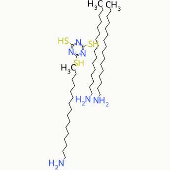 CCCCCCCCCCCCCCCCN.CCCCCCCCCCCCCCCCN.CCCCCCCCCCCCCCCCN.Sc1nc(S)nc(S)n1